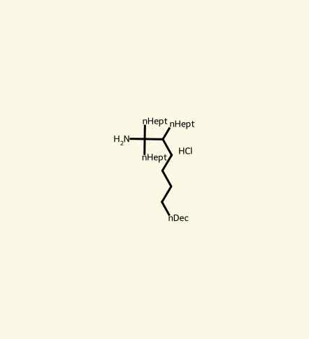 CCCCCCCCCCCCCCC(CCCCCCC)C(N)(CCCCCCC)CCCCCCC.Cl